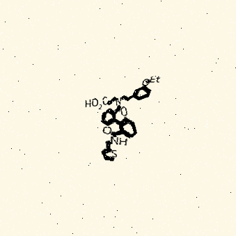 CCOc1cccc(CCN(CCC(=O)O)C(=O)c2ccccc2-c2ccccc2C(=O)NCc2cccs2)c1